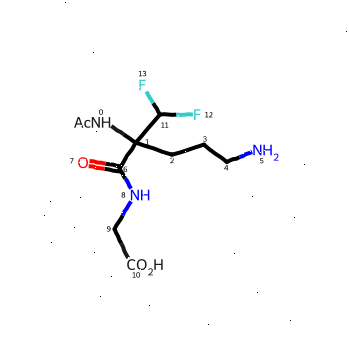 CC(=O)NC(CCCN)(C(=O)NCC(=O)O)C(F)F